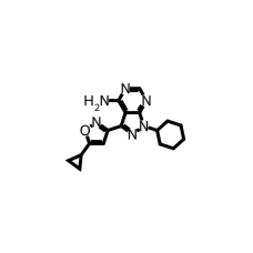 Nc1ncnc2c1c(-c1cc(C3CC3)on1)nn2C1CCCCC1